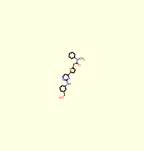 CN(C(=O)Cc1ccc(-c2ccnc(Nc3cccc(CO)c3)n2)s1)c1ccccc1